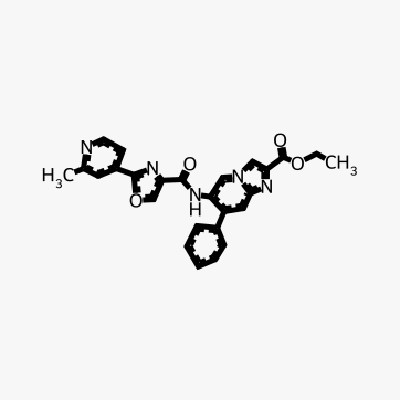 CCOC(=O)c1cn2cc(NC(=O)c3coc(-c4ccnc(C)c4)n3)c(-c3ccccc3)cc2n1